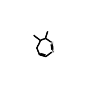 CC1CC=CN=NC1C